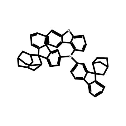 c1ccc2c(c1)-c1ccc(N(c3ccc4c(c3)-c3ccccc3C43C4CCC5CC(C4)CC3C5)c3cccc4sc5ccccc5c34)cc1C21CC2CCC1C2